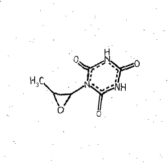 CC1OC1n1c(=O)[nH]c(=O)[nH]c1=O